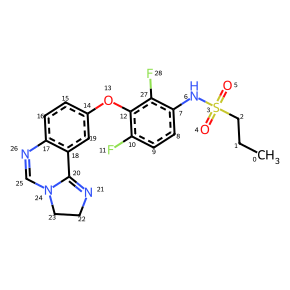 CCCS(=O)(=O)Nc1ccc(F)c(Oc2ccc3c(c2)C2=NCCN2C=N3)c1F